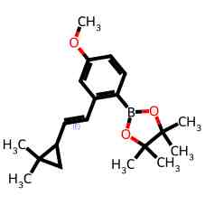 COc1ccc(B2OC(C)(C)C(C)(C)O2)c(/C=C/C2CC2(C)C)c1